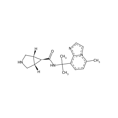 Cc1ccc(C(C)(C)NC(=O)[C@H]2[C@@H]3CNC[C@@H]32)c2nccn12